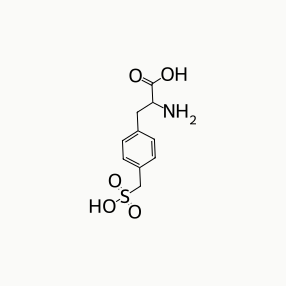 NC(Cc1ccc(CS(=O)(=O)O)cc1)C(=O)O